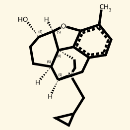 Cc1ccc2c3c1O[C@@H]1[C@@H](O)CC[C@@H]4[C@H](C2)N(CC2CC2)CC[C@]341